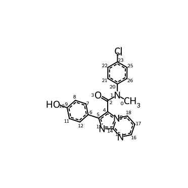 CN(C(=O)c1c(-c2ccc(O)cc2)nc2ncccn12)c1ccc(Cl)cc1